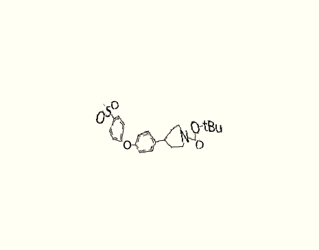 CC(C)(C)OC(=O)N1CCC(c2ccc(Oc3ccc(S(C)(=O)=O)cc3)cc2)CC1